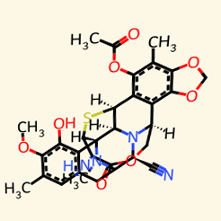 COc1c(C)cc2c(c1O)[C@@H]1[C@H]3[C@H]4SC[C@@H](N)C(=O)OC[C@H](c5c6c(c(C)c(OC(C)=O)c54)OCO6)N3[C@@H](C#N)C(C2)N1C